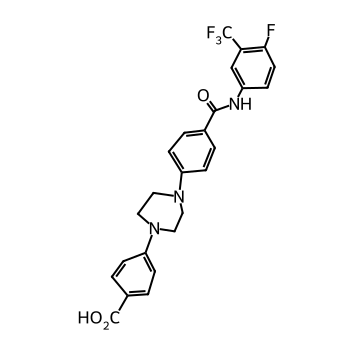 O=C(O)c1ccc(N2CCN(c3ccc(C(=O)Nc4ccc(F)c(C(F)(F)F)c4)cc3)CC2)cc1